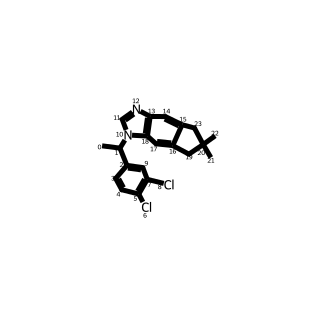 CC(c1ccc(Cl)c(Cl)c1)n1cnc2cc3c(cc21)CC(C)(C)C3